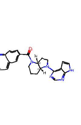 O=C(c1ccc2ncccc2c1)N1CCC[C@@H]2[C@H]1CCN2c1ncnc2[nH]ccc12